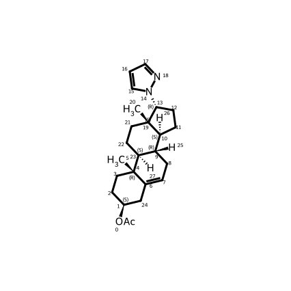 CC(=O)O[C@H]1CC[C@@]2(C)C(=CC[C@H]3[C@@H]4CC[C@@H](n5cccn5)[C@@]4(C)CC[C@@H]32)C1